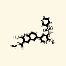 CCOC(=O)c1cc2cc(-c3cnc(OC)c(NS(=O)(=O)c4cccnc4)c3)ccc2nc1N